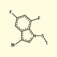 Fc1cc(F)c2c(c1)c(Br)cn2SI